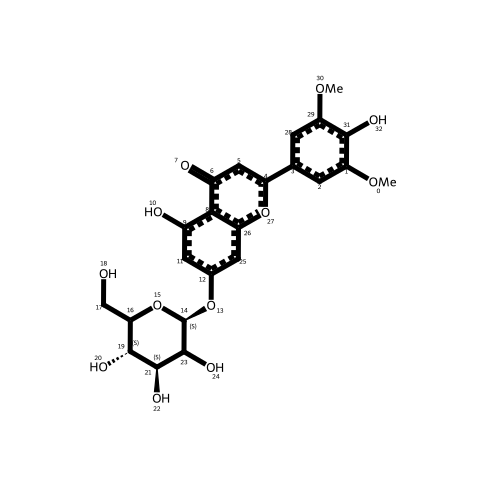 COc1cc(-c2cc(=O)c3c(O)cc(O[C@@H]4OC(CO)[C@@H](O)[C@H](O)C4O)cc3o2)cc(OC)c1O